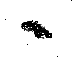 CC(Br)(C(=O)c1ccccc1)C(C=S)C(C(C)(Br)C(=O)c1ccccc1)S(C)(=O)=O